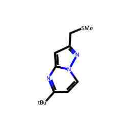 CSCc1cc2nc(C(C)(C)C)ccn2n1